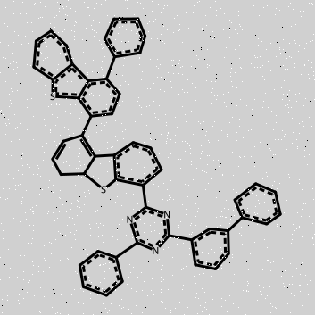 C1=CC(c2ccc(-c3ccccc3)c3c2sc2ccccc23)=C2c3cccc(-c4nc(-c5ccccc5)nc(-c5cccc(-c6ccccc6)c5)n4)c3SC2C1